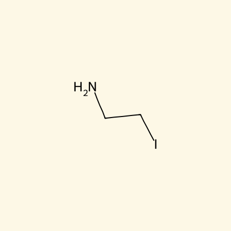 NCCI